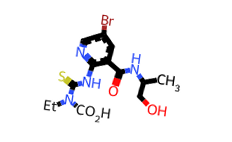 CCN(C(=O)O)C(=S)Nc1ncc(Br)cc1C(=O)NC(C)CO